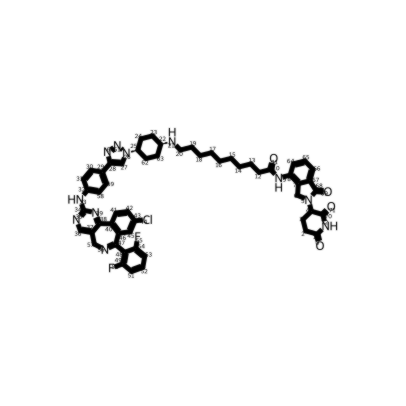 O=C1CCC(N2Cc3c(NC(=O)CCCCCCCCCN[C@H]4CC[C@@H](n5cc(-c6ccc(Nc7ncc8c(n7)-c7ccc(Cl)cc7C(c7c(F)cccc7F)=NC8)cc6)nn5)CC4)cccc3C2=O)C(=O)N1